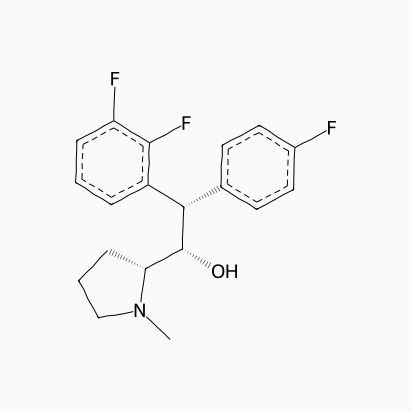 CN1CCC[C@@H]1[C@@H](O)[C@@H](c1ccc(F)cc1)c1cccc(F)c1F